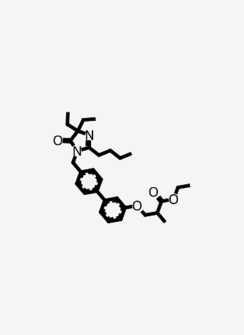 CCCCC1=NC(CC)(CC)C(=O)N1Cc1ccc(-c2cccc(OCC(C)C(=O)OCC)c2)cc1